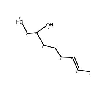 C/C=C/CCCC(O)CO